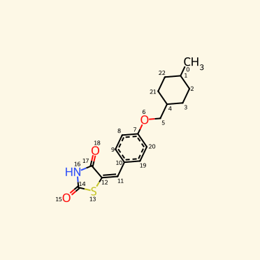 CC1CCC(COc2ccc(/C=C3/SC(=O)NC3=O)cc2)CC1